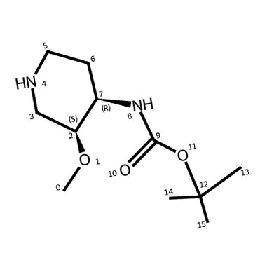 CO[C@H]1CNCC[C@H]1NC(=O)OC(C)(C)C